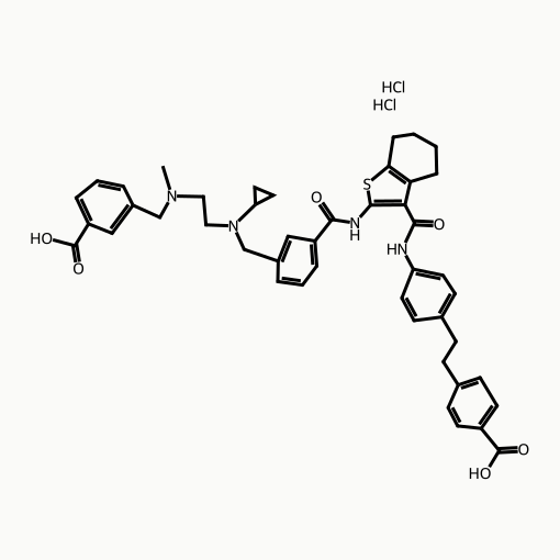 CN(CCN(Cc1cccc(C(=O)Nc2sc3c(c2C(=O)Nc2ccc(CCc4ccc(C(=O)O)cc4)cc2)CCCC3)c1)C1CC1)Cc1cccc(C(=O)O)c1.Cl.Cl